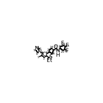 CCC(CCC(C)Cn1ccnc1)Sc1cc(C(=O)Nc2cc(F)c(F)c(F)c2)ccc1Cl